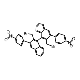 O=[N+]([O-])c1ccc(-c2cc3ccccc3c(-c3c(CBr)c(-c4ccc([N+](=O)[O-])cc4)cc4ccccc34)c2CBr)cc1